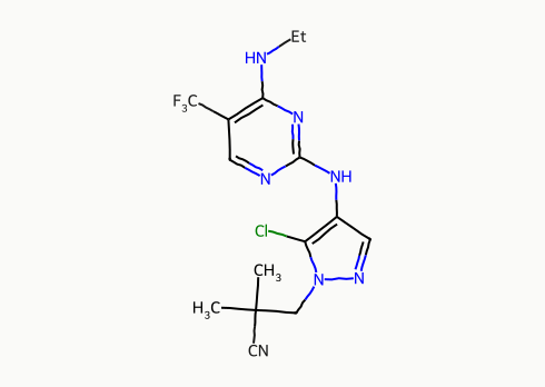 CCNc1nc(Nc2cnn(CC(C)(C)C#N)c2Cl)ncc1C(F)(F)F